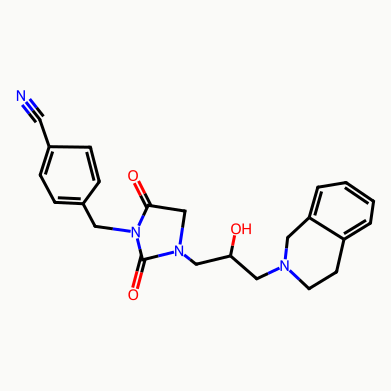 N#Cc1ccc(CN2C(=O)CN(CC(O)CN3CCc4ccccc4C3)C2=O)cc1